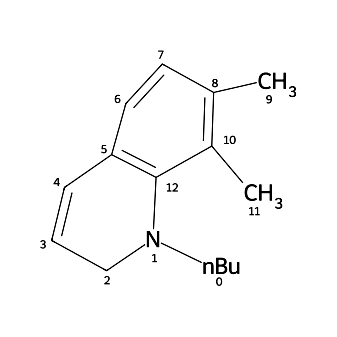 CCCCN1CC=Cc2ccc(C)c(C)c21